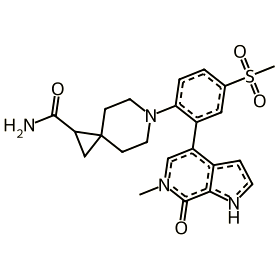 Cn1cc(-c2cc(S(C)(=O)=O)ccc2N2CCC3(CC2)CC3C(N)=O)c2cc[nH]c2c1=O